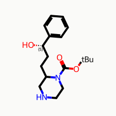 CC(C)(C)OC(=O)N1CCNCC1CC[C@H](O)c1ccccc1